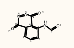 O=CNc1cccc2c1C(=O)N=NC2=O